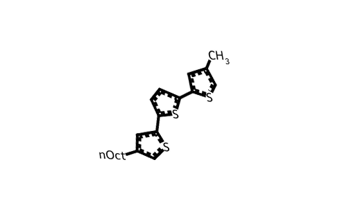 CCCCCCCCc1csc(-c2ccc(-c3cc(C)cs3)s2)c1